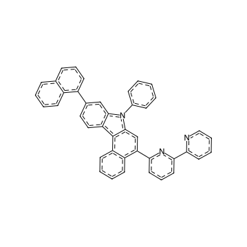 c1ccc(-n2c3cc(-c4cccc5ccccc45)ccc3c3c4ccccc4c(-c4cccc(-c5ccccn5)n4)cc32)cc1